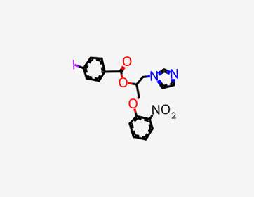 O=C(OC(COc1ccccc1[N+](=O)[O-])Cn1ccnc1)c1ccc(I)cc1